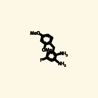 COc1ccc(Cc2cc(F)cc(N)c2N)c(OC)c1